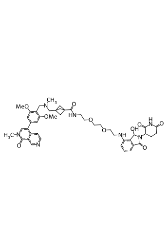 COc1cc(-c2cn(C)c(=O)c3cnccc23)cc(OC)c1CN(C)CC12CC(C(=O)NCCOCCOCCNc3cccc4c3C(O)N(C3CCC(=O)NC3=O)C4=O)(C1)C2